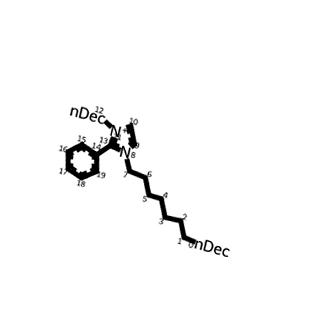 CCCCCCCCCCCCCCCCCn1cc[n+](CCCCCCCCCC)c1-c1ccccc1